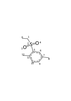 CCS(=O)(=O)c1cc(C)ccc1C